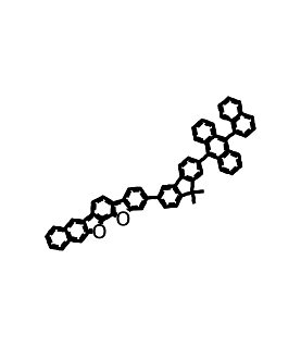 CC1(C)c2ccc(-c3ccc4c(c3)oc3c4ccc4c5cc6ccccc6cc5oc43)cc2-c2ccc(-c3c4ccccc4c(-c4cccc5ccccc45)c4ccccc34)cc21